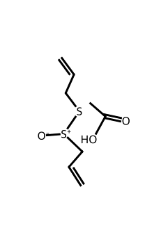 C=CCS[S+]([O-])CC=C.CC(=O)O